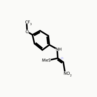 CS/C(=C\[N+](=O)[O-])Nc1ccc(OC(F)(F)F)cc1